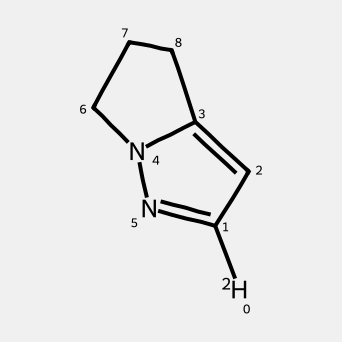 [2H]c1cc2n(n1)CCC2